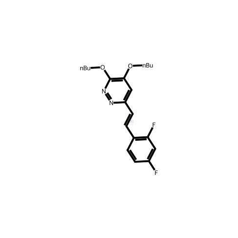 CCCCOc1cc(/C=C/c2ccc(F)cc2F)nnc1OCCCC